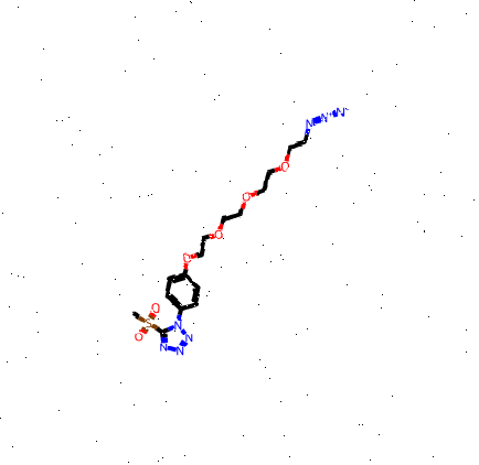 CS(=O)(=O)c1nnnn1-c1ccc(OCCOCCOCCOCCN=[N+]=[N-])cc1